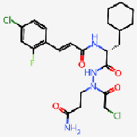 NC(=O)CCN(NC(=O)[C@@H](CC1CCCCC1)NC(=O)/C=C/c1ccc(Cl)cc1F)C(=O)CCl